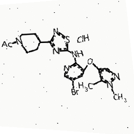 CC(=O)N1CCC(c2nsc(Nc3ncc(Br)cc3Oc3cnn(C)c3C)n2)CC1.Cl